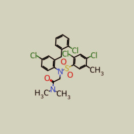 Cc1cc(S(=O)(=O)N(CC(=O)N(C)C)c2ccc(Cl)cc2Cc2ccccc2Cl)c(Cl)cc1Cl